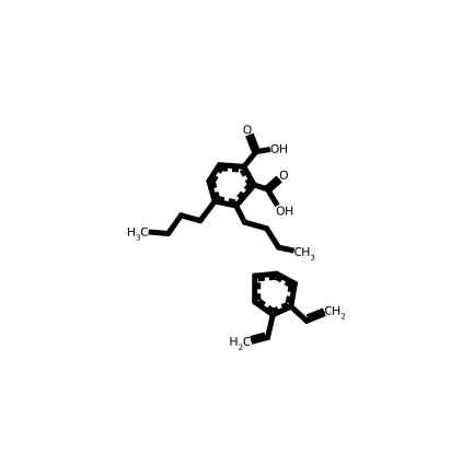 C=Cc1ccccc1C=C.CCCCc1ccc(C(=O)O)c(C(=O)O)c1CCCC